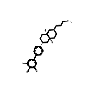 CCCCC1CC[C@@H]2C[C@H](c3ccc(-c4cc(F)c(Cl)c(F)c4)cc3)CC[C@@H]2C1